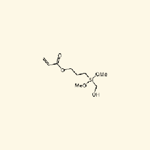 C=CC(=O)OCCC[Si](CO)(OC)OC